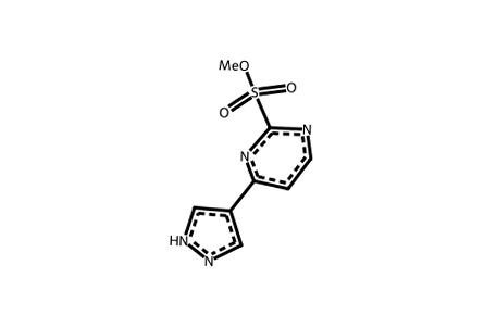 COS(=O)(=O)c1nccc(-c2cn[nH]c2)n1